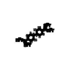 CCCN(CCC)c1ccc(-c2ccc(N(CCC)CCC)cc2)cc1